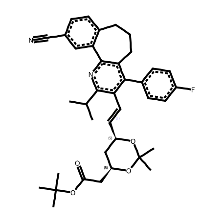 CC(C)c1nc2c(c(-c3ccc(F)cc3)c1/C=C/[C@@H]1C[C@H](CC(=O)OC(C)(C)C)OC(C)(C)O1)CCCc1ccc(C#N)cc1-2